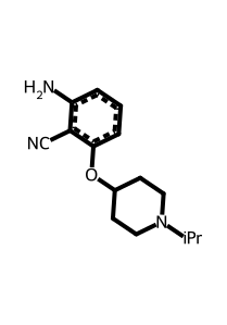 CC(C)N1CCC(Oc2cccc(N)c2C#N)CC1